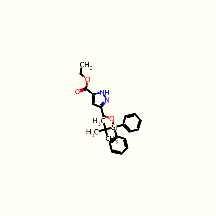 CCOC(=O)c1cc(CO[Si](c2ccccc2)(c2ccccc2)C(C)(C)C)n[nH]1